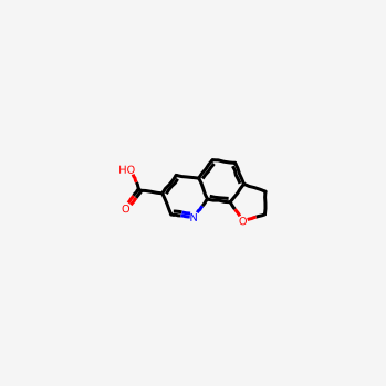 O=C(O)c1cnc2c3c(ccc2c1)CCO3